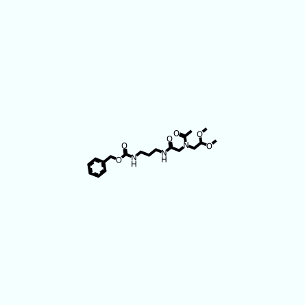 COC(CN(CC(=O)NCCCNC(=O)OCc1ccccc1)C(C)=O)OC